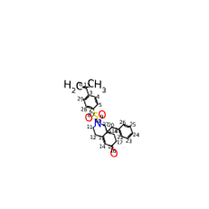 C=C(C)c1ccc(S(=O)(=O)N2CCC3=CC(=O)CCC3(Cc3ccccc3)C2)cc1